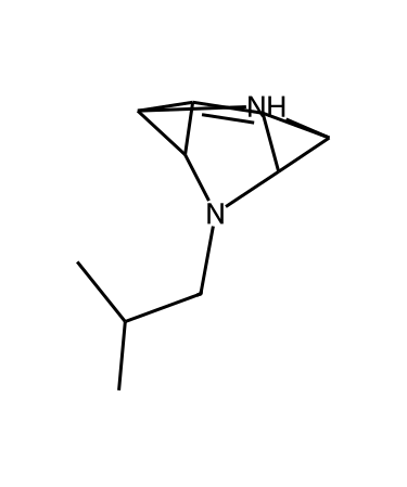 CC(C)CN1C2C3=C4C(NC32)C41